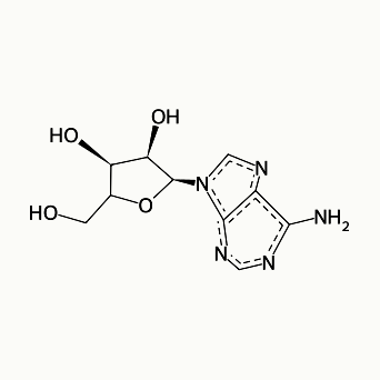 Nc1ncnc2c1ncn2[C@H]1OC(CO)[C@@H](O)[C@H]1O